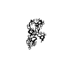 CN1N=C(NS(C)(=O)=O)C2C(Cl)=CC=C(n3c([C@H](Cc4cc(F)cc(F)c4)NC(=O)Cn4nc(C(F)F)c5c4C(F)(F)[C@@H]4C[C@H]54)nc4nc(OCCC5CC5)ccc4c3=O)C21